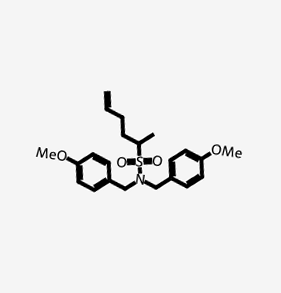 C=CCCC(C)S(=O)(=O)N(Cc1ccc(OC)cc1)Cc1ccc(OC)cc1